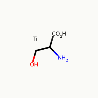 NC(CO)C(=O)O.[Ti]